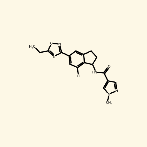 CCc1nc(-c2cc(Cl)c3c(c2)CCC3NC(=O)c2cnn(C)c2)no1